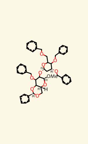 CO[C@H]1O[C@@H]2CO[C@@H](c3ccccc3)OC2C(OCc2ccccc2)C1O[C@H]1C[C@@H](OCc2ccccc2)C(OCc2ccccc2)C(COCc2ccccc2)O1